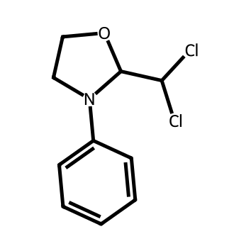 ClC(Cl)C1OCCN1c1ccccc1